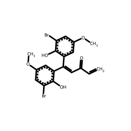 C=CC(=O)C=C(c1cc(OC)cc(Br)c1O)c1cc(OC)cc(Br)c1O